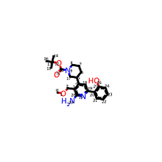 COCc1c(C2CCCN(C(=O)OC(C)(C)C)C2)cc(-c2ccccc2O)nc1N